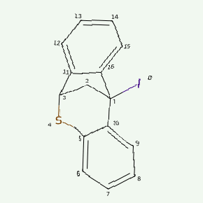 IC12CC(Sc3ccccc31)c1ccccc12